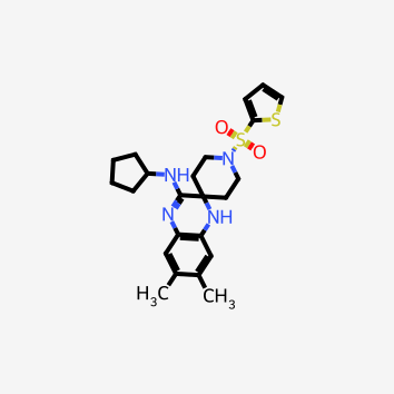 Cc1cc2c(cc1C)NC1(CCN(S(=O)(=O)c3cccs3)CC1)C(NC1CCCC1)=N2